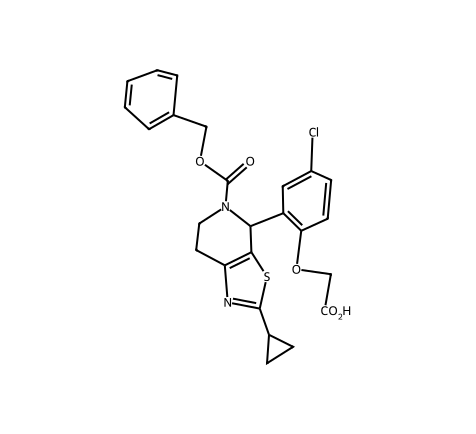 O=C(O)COc1ccc(Cl)cc1C1c2sc(C3CC3)nc2CCN1C(=O)OCc1ccccc1